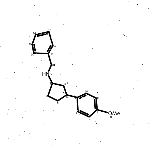 COc1ccc(C2CCC(NCc3ccccc3)C2)cc1